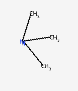 CCCCCCCCCCCCCCCCCCCCCCCCCCCCc1n[c]nc(CCCCCCCCCCCCCCCCCCCCCCCCCCCC)c1CCCCCCCCCCCCCCCCCCCCCCCCCCCC